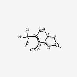 FC(F)(F)c1ccc2[c]occ2c1Cl